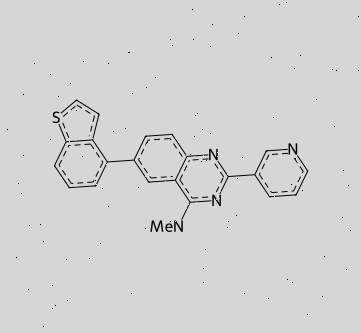 CNc1nc(-c2cccnc2)nc2ccc(-c3cccc4sccc34)cc12